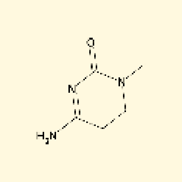 CN1CCC(N)=NC1=O